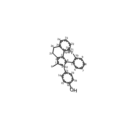 Cc1c2c(c(-c3ccccc3C(C)C)n1-c1ccc(O)cc1)-c1ccccc1CC2